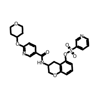 O=C(NC1COc2cccc(OS(=O)(=O)c3cccnc3)c2C1)c1ccc(OC2CCOCC2)nc1